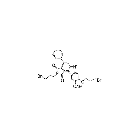 COc1cc2c3c4c(c(-c5ccccc5)cc3n(C)c2cc1OCCCBr)C(=O)N(CCCBr)C4=O